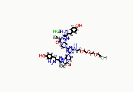 C#CCOCCOCCOCCNc1nc(N2CCN(C(=O)[C@H]([C@@H](C)CC)n3cc([C@@H](N)Cc4ccc(O)cc4)nn3)CC2)nc(N2CCN(C(=O)[C@H]([C@@H](C)CC)n3cc([C@@H](N)Cc4ccc(O)cc4)nn3)CC2)n1.Cl